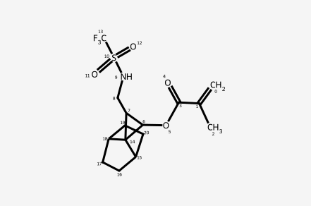 C=C(C)C(=O)OC1C(CNS(=O)(=O)C(F)(F)F)C12C1CCC2CC1